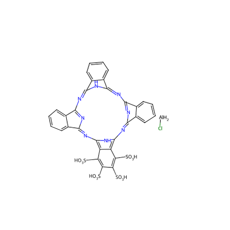 O=S(=O)(O)c1c(S(=O)(=O)O)c(S(=O)(=O)O)c2c3nc4nc(nc5[nH]c(nc6nc(nc([nH]3)c2c1S(=O)(=O)O)-c1ccccc1-6)c1ccccc51)-c1ccccc1-4.[AlH2][Cl]